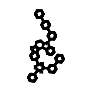 C1=CC2C(c3ccccc3N2c2cccc(-c3ccc(-c4ccccc4)cc3)c2)c2c1oc1ccc(-c3nc(-c4ccccc4)nc(-c4cccc(-c5ccccc5)c4)n3)cc21